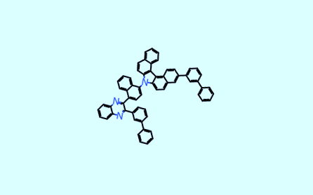 c1ccc(-c2cccc(-c3ccc4c(ccc5c4c4c6ccccc6ccc4n5-c4ccc(-c5nc6ccccc6nc5-c5cccc(-c6ccccc6)c5)c5ccccc45)c3)c2)cc1